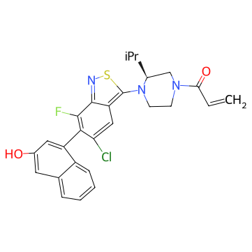 C=CC(=O)N1CCN(c2snc3c(F)c(-c4cc(O)cc5ccccc45)c(Cl)cc23)[C@@H](C(C)C)C1